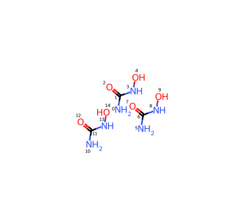 NC(=O)NO.NC(=O)NO.NC(=O)NO